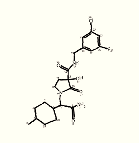 CC1CCC(C(C(N)=O)N2CCC(O)(C(=O)NCc3cc(F)cc(Cl)c3)C2=O)CC1